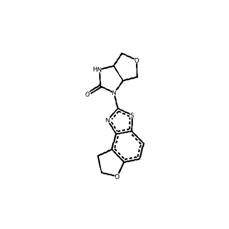 O=C1NC2COCC2N1c1nc2c3c(ccc2s1)OCC3